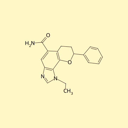 CCn1cnc2cc(C(N)=O)c3c(c21)OC(c1ccccc1)CC3